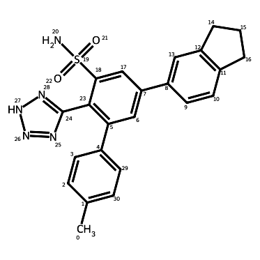 Cc1ccc(-c2cc(-c3ccc4c(c3)CCC4)cc(S(N)(=O)=O)c2-c2nn[nH]n2)cc1